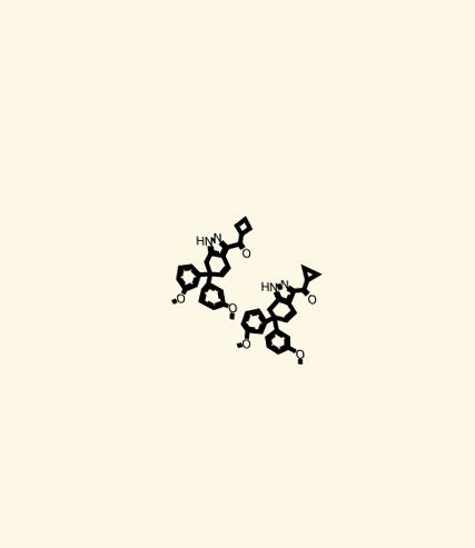 COc1cccc(C2(c3cccc(OC)c3)C=Cc3c(C(=O)C4CC4)n[nH]c3C2)c1.COc1cccc(C2(c3cccc(OC)c3)C=Cc3c(C(=O)C4CCC4)n[nH]c3C2)c1